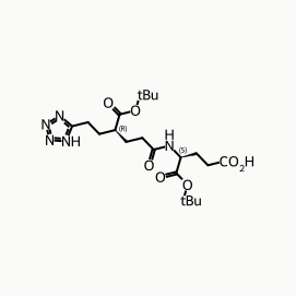 CC(C)(C)OC(=O)[C@@H](CCC(=O)N[C@@H](CCC(=O)O)C(=O)OC(C)(C)C)CCc1nnn[nH]1